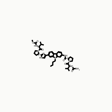 CCCCn1c2cc(NC(=O)[C@@H]3CCCN3C(=O)[C@@H](OC(N)=O)C(C)C)ccc2c2ccc(-c3c[nH]c([C@@H]4CCCN4C(=O)[C@@H](NC(=O)OC)C(C)C)n3)cc21